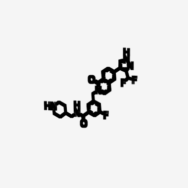 O=C(NCC1CCNCC1)c1cc(F)cc(Cn2ccc3cc(-c4c[nH]nc4C(F)F)ccc3c2=O)c1